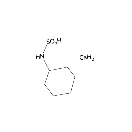 O=S(=O)(O)NC1CCCCC1.[CaH2]